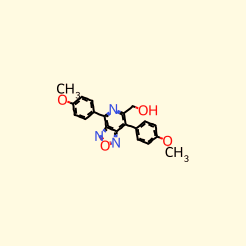 COc1ccc(-c2nc(CO)c(-c3ccc(OC)cc3)c3nonc23)cc1